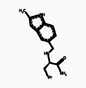 Cc1cc2cc(CN[C@H](CC(C)C)C(N)=O)ccc2[nH]1